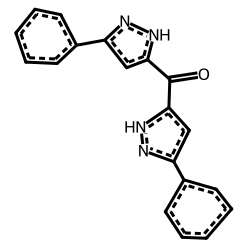 O=C(c1cc(-c2ccccc2)n[nH]1)c1cc(-c2ccccc2)n[nH]1